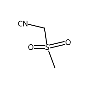 [C-]#[N+]CS(C)(=O)=O